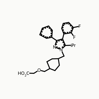 CC(C)c1c(-c2cccc(F)c2F)c(-c2ccccc2)nn1CC1CCC(COCC(=O)O)CC1